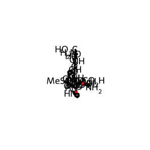 CSCC[C@H](NC(=O)[C@H](Cc1ccc(O)cc1)NC(=O)[C@H](CC(=O)O)NC(=O)CCOCCOCCNC(=O)CNC(=O)[C@@H](N)CC(=O)O)C(=O)NCC(=O)N[C@@H](Cc1c[nH]c2ccccc12)C(=O)NCC(=O)N[C@@H](CC(=O)O)C(=O)NCC(N)=O